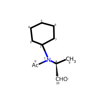 CC(=O)N(C1CCCCC1)[C@@H](C)[C]=O